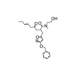 CCC=CCC(=O)CC(Cc1cc(OCc2ccccc2)no1)C(=O)N(C)CCO